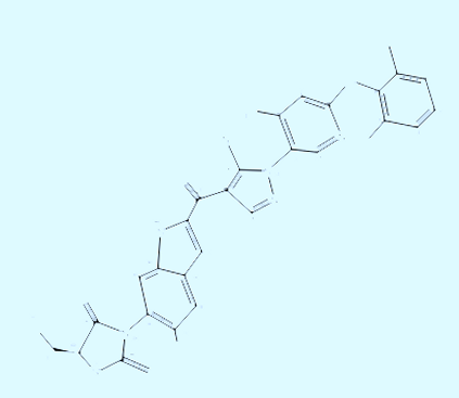 Cc1cc(Oc2c(F)cccc2F)ncc1-n1ncc(C(=O)c2cc3cc(I)c(N4C(=O)N[C@@H](CO)C4=O)cc3[nH]2)c1N